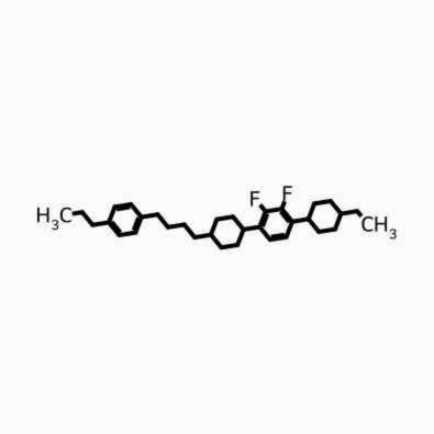 CCCc1ccc(CCCCC2CCC(c3ccc(C4CCC(CC)CC4)c(F)c3F)CC2)cc1